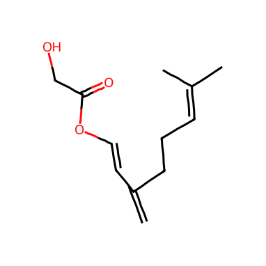 C=C(C=COC(=O)CO)CCC=C(C)C